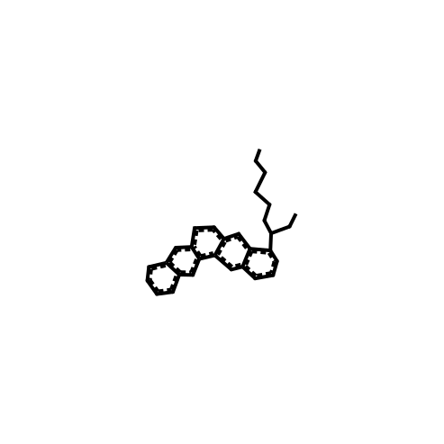 CCCCCCC(CC)c1cccc2cc3c(ccc4cc5ccccc5cc43)cc12